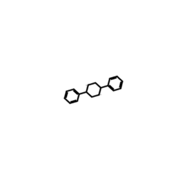 [CH]1CC(c2ccccc2)[CH]CC1c1ccccc1